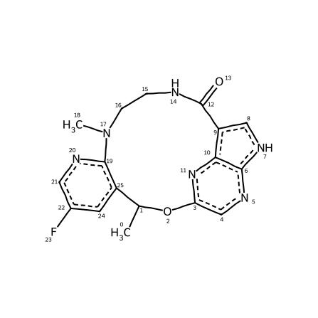 CC1Oc2cnc3[nH]cc(c3n2)C(=O)NCCN(C)c2ncc(F)cc21